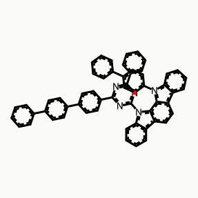 c1ccc(-c2ccc(-c3ccc(-c4nc(-c5ccccc5)nc(-n5c6ccccc6c6ccc7c8ccccc8n(-c8ccc(-c9ccccc9)cc8)c7c65)n4)cc3)cc2)cc1